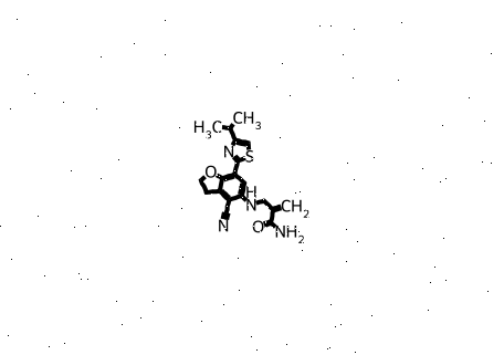 C=C(CNc1cc(-c2nc(C(C)C)cs2)c2c(c1C#N)CCO2)C(N)=O